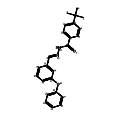 CC(C)(C)c1ccc(C(=O)N/N=C/c2cccc(Oc3ccccc3)c2)cc1